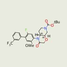 COc1cc(-c2cccc(C(F)(F)F)c2)c(F)cc1N1C(=O)CO[C@@H]2CN(C(=O)OC(C)(C)C)CC[C@H]21